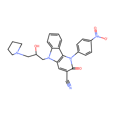 N#Cc1cc2c(c3ccccc3n2CC(O)CN2CCCC2)n(-c2ccc([N+](=O)[O-])cc2)c1=O